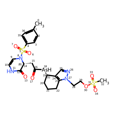 Cc1ccc(S(=O)(=O)N2C=CNC(=O)[C@H]2CC(=O)[AsH][C@H]2CCCc3c2cnn3CCOS(C)(=O)=O)cc1